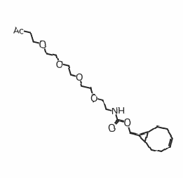 CC(=O)CCOCCOCCOCCOCCNC(=O)OCC1C2CC/C=C\CCC21